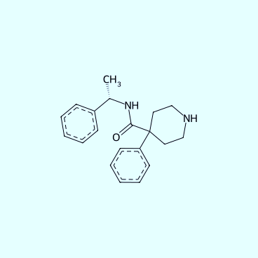 C[C@H](NC(=O)C1(c2ccccc2)CCNCC1)c1ccccc1